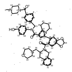 CN1CCN(C(=O)c2ccc(CN(C(=O)c3cc(-c4cc5c(cc4C(=O)N4Cc6ccccc6CC4CN4CCOCC4)OCO5)n4c3CCCC4)c3ccc(O)cc3)cc2)CC1